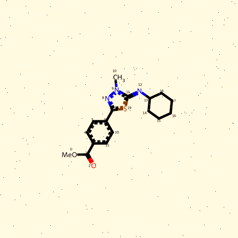 COC(=O)c1ccc(-c2nn(C)c(=NC3CCCCC3)s2)cc1